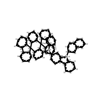 c1ccc(N(c2ccc3c4ccccc4n(-c4ccc5ccccc5c4)c3c2)c2cccc3c2C2(c4ccccc4-c4ccccc42)c2ccccc2C32c3ccccc3-c3ccccc32)cc1